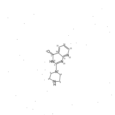 O=c1[nH]c(N2CCNCC2)nc2ncccc12